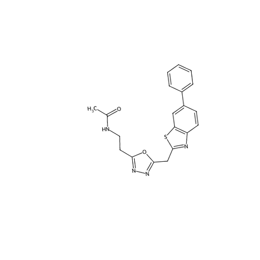 CC(=O)NCCc1nnc(Cc2nc3ccc(-c4ccccc4)cc3s2)o1